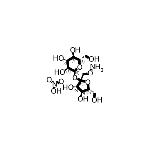 NOC[C@@]1(O[C@@H]2O[C@@H](CO)[C@H](O)[C@@H](O)[C@@H]2O)O[C@H](CO)[C@@H](O)[C@@H]1O.O=[N+]([O-])O